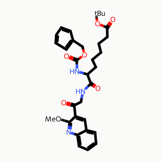 COc1nc2ccccc2cc1C(=O)CNC(=O)C(CCCCCC(=O)OC(C)(C)C)NC(=O)OCc1ccccc1